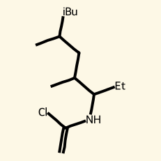 C=C(Cl)NC(CC)C(C)CC(C)C(C)CC